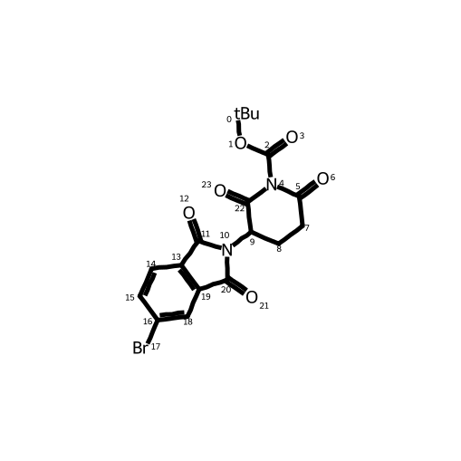 CC(C)(C)OC(=O)N1C(=O)CCC(N2C(=O)c3ccc(Br)cc3C2=O)C1=O